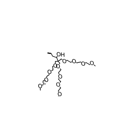 C=CCC(O)C(COCCOCCOCCOC)(COCCOCCOCCOC)COCCOCCOCCOC